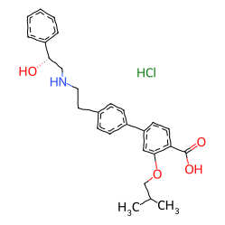 CC(C)COc1cc(-c2ccc(CCNC[C@H](O)c3ccccc3)cc2)ccc1C(=O)O.Cl